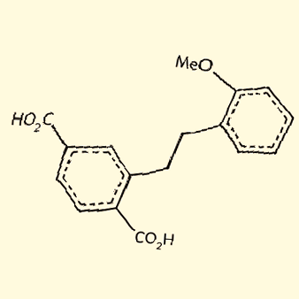 COc1ccccc1CCc1cc(C(=O)O)ccc1C(=O)O